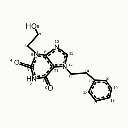 O=c1[nH]c(=O)n(CCO)c2ncn(CCc3ccccc3)c12